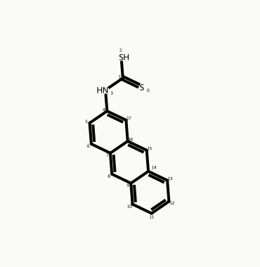 S=C(S)Nc1ccc2cc3ccccc3cc2c1